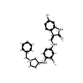 O=C1Nc2cc(F)ccc2C1=CNc1ccc(NC2CCN(Cc3ccccc3)C2)c(F)c1